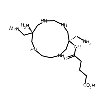 CNC[C@@]1(N)CNCCNC[C@](CN)(NC(=O)CCCC(=O)O)CNCNC1